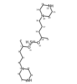 CC(CCCN1CCNCC1)O[SiH2]OC(C)CCCN1CCNCC1